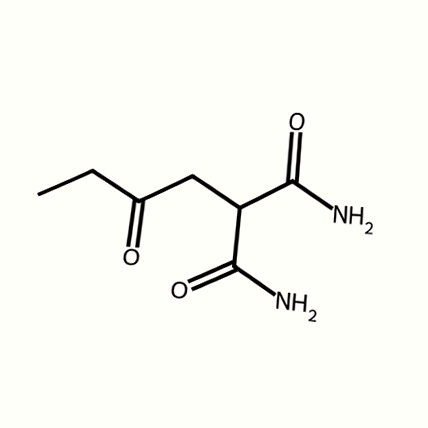 CCC(=O)CC(C(N)=O)C(N)=O